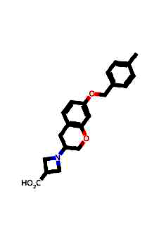 Cc1ccc(COc2ccc3c(c2)OCC(N2CC(C(=O)O)C2)C3)cc1